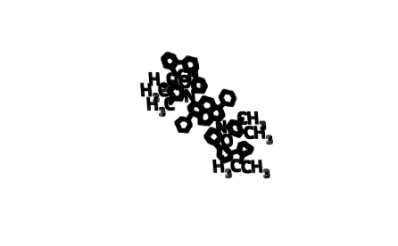 Cc1ccc(N(c2cccc(-c3cccc(-c4ccccc4C(C)C)c3)c2O)c2cc(C3CCCCC3)c3ccc4c(N(c5ccc(C)c(C)c5)c5cccc6c5oc5c(-c7ccccc7C(C)C)cccc56)cc(C5CCCCC5)c5ccc2c3c54)cc1C